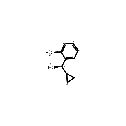 Cc1ccccc1[C@H](O)C1CC1